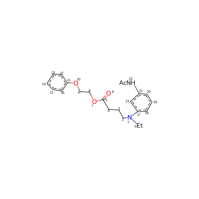 CCN(CCCC(=O)OCCOc1ccccc1)c1cccc(NC(C)=O)c1